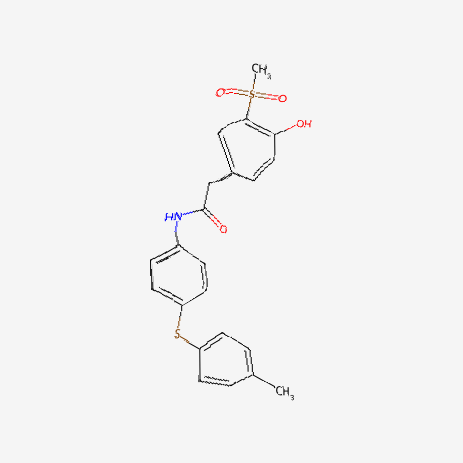 Cc1ccc(Sc2ccc(NC(=O)Cc3ccc(O)c(S(C)(=O)=O)c3)cc2)cc1